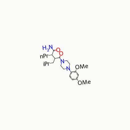 CCCC(C(N)=O)C(CC(C)C)C(=O)N1CCN(c2ccc(OC)cc2OC)CC1